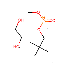 CO[PH](=O)OCC(C)(C)C.OCCO